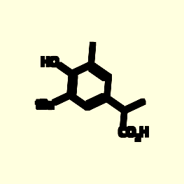 Cc1cc(C(C)C(=O)O)cc(C(C)(C)C)c1O